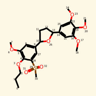 CCCOc1c(OC)cc(C2CCC(c3cc(OC)c(OC)c(OC)c3)O2)cc1S(C)(=O)=O